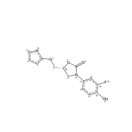 O=C1O[C@@H](COc2ccon2)CN1c1ccc(O)c(F)c1